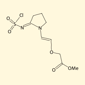 COC(=O)COC=CN1CCCC1=NS(=O)(=O)Cl